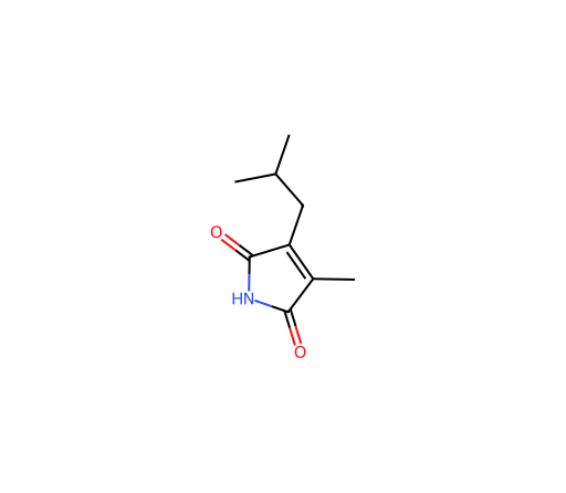 CC1=C(CC(C)C)C(=O)NC1=O